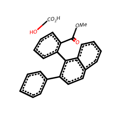 COC(=O)c1ccccc1-c1c(-c2ccccc2)ccc2ccccc12.O=C(O)O